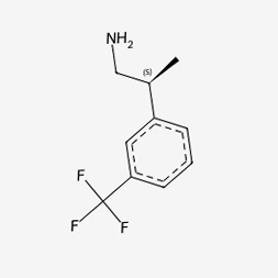 C[C@H](CN)c1cccc(C(F)(F)F)c1